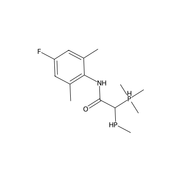 CPC(C(=O)Nc1c(C)cc(F)cc1C)[PH](C)(C)C